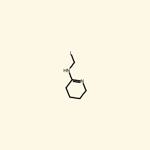 ICNC1=NCCCC1